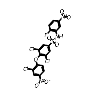 O=[N+]([O-])c1ccc(Oc2c(Cl)cc(S(=O)(=O)Nc3cc([N+](=O)[O-])ccc3F)cc2Cl)c(Cl)c1